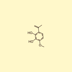 C=C(C)c1ccc(OC)c(O)c1O